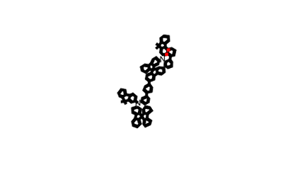 CC1(C)c2ccccc2-c2ccc(N(c3cccc(-c4ccc(-c5ccc6c(c5)-c5ccccc5C65c6ccccc6-c6ccc(N(c7ccc8c(c7)C(C)(C)c7ccccc7-8)c7ccccc7-c7ccccc7)cc65)cc4)c3)c3ccc4c(c3)C3(c5ccccc5-c5ccccc53)c3ccccc3-4)cc21